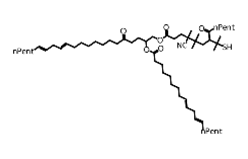 CCCCC/C=C/C/C=C/CCCCCCCC(=O)CCC(COC(=O)CCC(C)(C#N)C(C)(C)CC(C(=O)CCCCC)C(C)(C)S)OC(=O)CCCCCCC/C=C/C/C=C/CCCCC